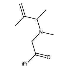 C=C(C)C(C)N(C)CC(=O)C(C)C